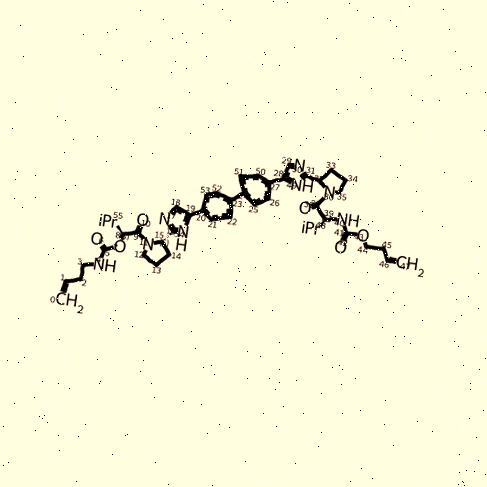 C=CCCNC(=O)O[C@H](C(=O)N1CCC[C@H]1c1ncc(-c2ccc(-c3ccc(-c4cnc(C5CCCN5C(=O)[C@@H](NC(=O)OCCC=C)C(C)C)[nH]4)cc3)cc2)[nH]1)C(C)C